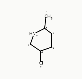 CC1CCC(Cl)CN1